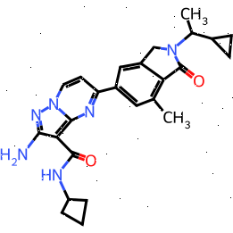 Cc1cc(-c2ccn3nc(N)c(C(=O)NC4CCC4)c3n2)cc2c1C(=O)N(C(C)C1CC1)C2